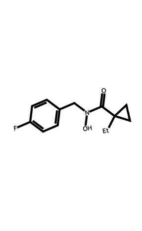 CCC1(C(=O)N(O)Cc2ccc(F)cc2)CC1